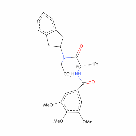 COc1cc(C(=O)N[C@H](C(=O)N(CC(=O)O)C2Cc3ccccc3C2)C(C)C)cc(OC)c1OC